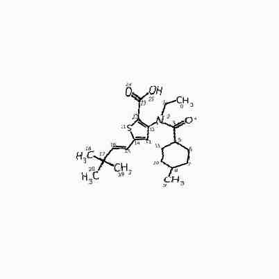 CCN(C(=O)C1CCC(C)CC1)c1cc(C=CC(C)(C)C)sc1C(=O)O